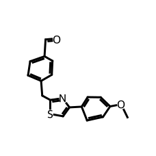 COc1ccc(-c2csc(Cc3ccc(C=O)cc3)n2)cc1